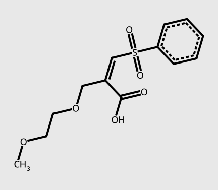 COCCOCC(=CS(=O)(=O)c1ccccc1)C(=O)O